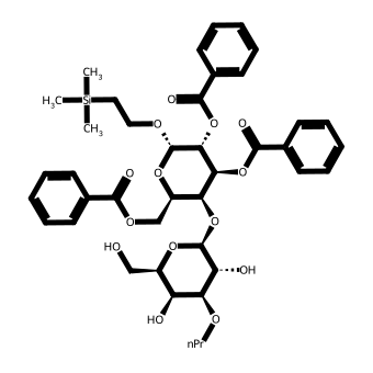 CCCO[C@H]1[C@@H](O)[C@@H](CO)O[C@@H](O[C@@H]2[C@H](OC(=O)c3ccccc3)[C@@H](OC(=O)c3ccccc3)[C@@H](OCC[Si](C)(C)C)O[C@@H]2COC(=O)c2ccccc2)[C@@H]1O